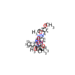 COc1ccc(CNC2CCN(C(=O)[C@@H](NC(=O)C(CC3CCCC3)CN(O)C=O)C(C)(C)C)CC2)c(OC)c1